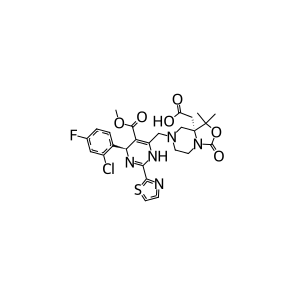 COC(=O)C1=C(CN2CCN3C(=O)OC(C)(C)[C@]3(CC(=O)O)C2)NC(c2nccs2)=N[C@H]1c1ccc(F)cc1Cl